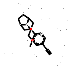 C#Cc1ccc(N2CC3CCC(C2)N3CCOC)nc1